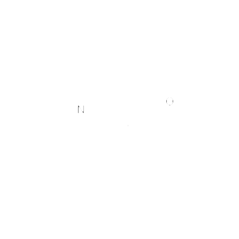 CN1CCC2(CCCOC2)C1